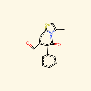 Cc1csc2cc(C=O)c(-c3ccccc3)c(=O)n12